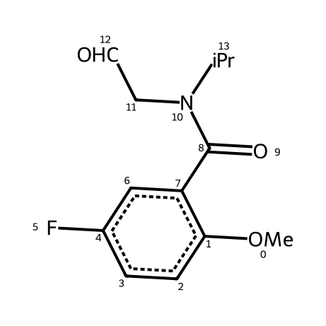 COc1ccc(F)cc1C(=O)N(CC=O)C(C)C